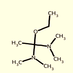 CCOC(C)(N(C)C)N(C)C